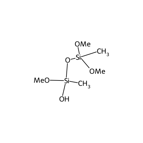 CO[Si](C)(O)O[Si](C)(OC)OC